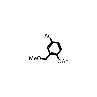 COCc1cc(C(C)=O)ccc1OC(C)=O